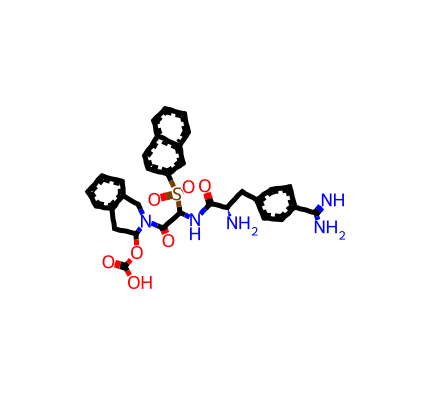 N=C(N)c1ccc(C[C@H](N)C(=O)NC(C(=O)N2Cc3ccccc3CC2OC(=O)O)S(=O)(=O)c2ccc3ccccc3c2)cc1